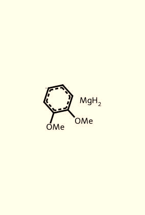 COc1c[c]ccc1OC.[MgH2]